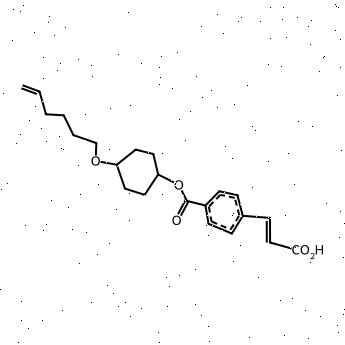 C=CCCCCOC1CCC(OC(=O)c2ccc(C=CC(=O)O)cc2)CC1